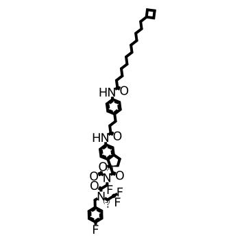 C[C@H](N(Cc1ccc(F)cc1)C(=O)CN1C(=O)O[C@@]2(CCc3cc(NC(=O)CCc4ccc(NC(=O)CCCCCCCCCCCC5CCC5)cc4)ccc32)C1=O)C(F)(F)F